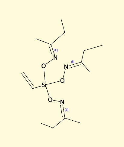 C=C[Si](O/N=C(/C)CC)(O/N=C(\C)CC)O/N=C(\C)CC